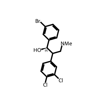 CNCC(c1ccc(Cl)c(Cl)c1)[C@@H](O)c1cccc(Br)c1